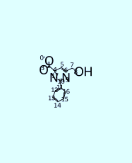 COC(=O)c1cc(CO)nc(-c2ccccc2)n1